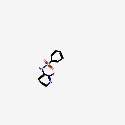 O=S(=O)(Nc1cccnc1I)c1ccccc1